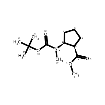 COC(=O)[C@@H]1CCC[C@@H]1N(C)C(=O)OC(C)(C)C